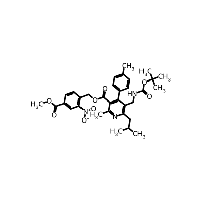 COC(=O)c1ccc(COC(=O)c2c(C)nc(CC(C)C)c(CNC(=O)OC(C)(C)C)c2-c2ccc(C)cc2)c([N+](=O)[O-])c1